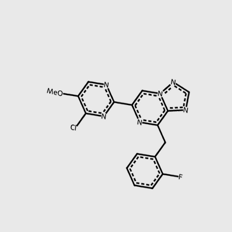 COc1cnc(-c2cn3ncnc3c(Cc3ccccc3F)n2)nc1Cl